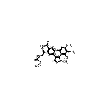 [C-]#[N+]c1cc(N)c(N)c(Cl)c1-c1c(-c2ccc3c(=O)[nH]nc(CNC(=O)OC(C)(C)C)c3c2)cnn1C